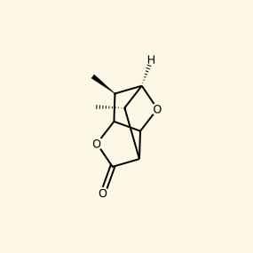 C[C@@H]1C2OC(=O)C3C2O[C@H]1[C@H]3C